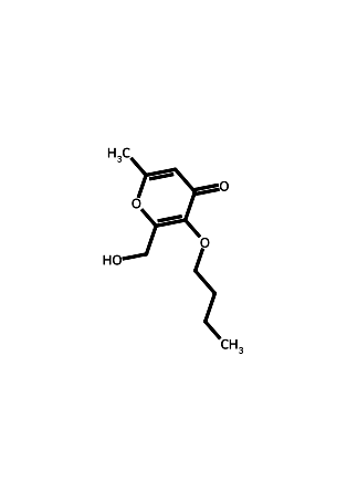 CCCCOc1c(CO)oc(C)cc1=O